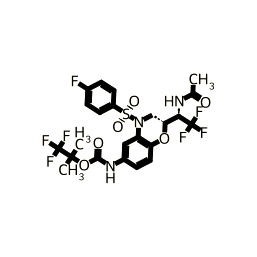 CC(=O)N[C@@H]([C@H]1CN(S(=O)(=O)c2ccc(F)cc2)c2cc(NC(=O)OC(C)(C)C(F)(F)F)ccc2O1)C(F)(F)F